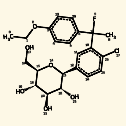 CCOc1ccc(C(C)(F)c2cc([C@@H]3O[C@H](CO)[C@@H](O)[C@H](O)[C@H]3O)ccc2Cl)cc1